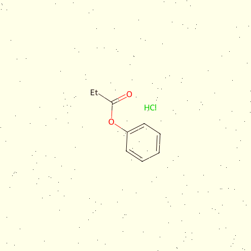 CCC(=O)Oc1ccccc1.Cl